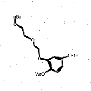 CCCCOCCOCCOc1cc(C=O)ccc1OC